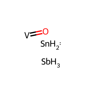 [O]=[V].[SbH3].[SnH2]